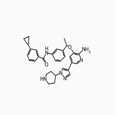 CC(Oc1cc(-c2cnn(C3CCNCC3)c2)cnc1N)c1cccc(NC(=O)c2cccc(C3CC3)c2)c1